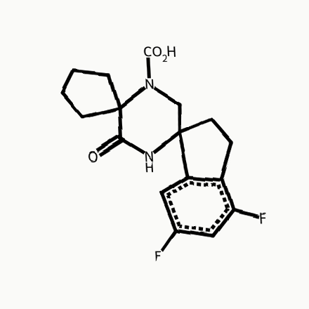 O=C(O)N1CC2(CCc3c(F)cc(F)cc32)NC(=O)C12CCCC2